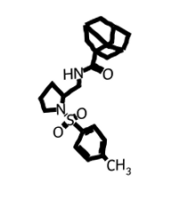 Cc1ccc(S(=O)(=O)N2CCCC2CNC(=O)C23CC4CC(CC(C4)C2)C3)cc1